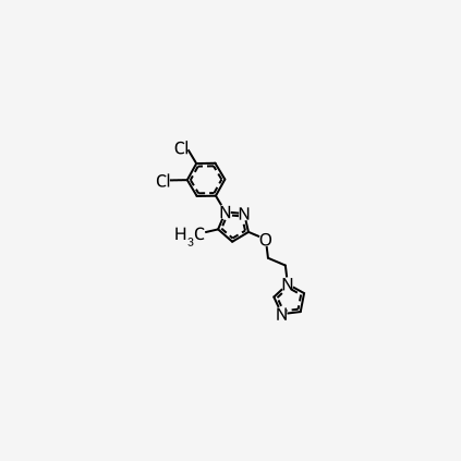 Cc1cc(OCCn2ccnc2)nn1-c1ccc(Cl)c(Cl)c1